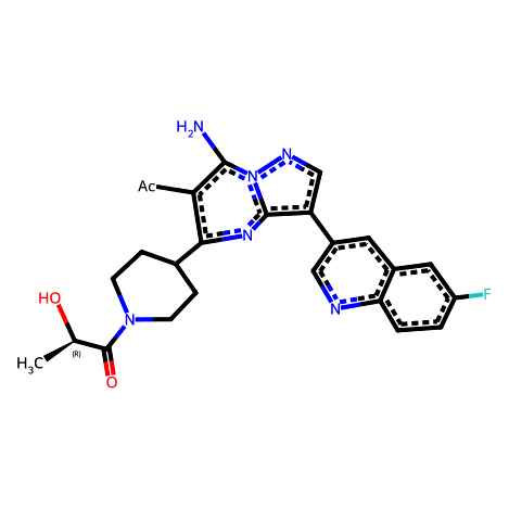 CC(=O)c1c(C2CCN(C(=O)[C@@H](C)O)CC2)nc2c(-c3cnc4ccc(F)cc4c3)cnn2c1N